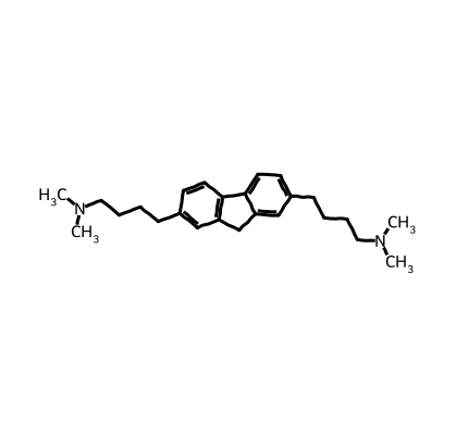 CN(C)CCCCc1ccc2c(c1)Cc1cc(CCCCN(C)C)ccc1-2